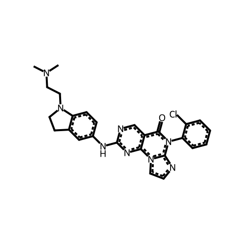 CN(C)CCN1CCc2cc(Nc3ncc4c(=O)n(-c5ccccc5Cl)c5nccn5c4n3)ccc21